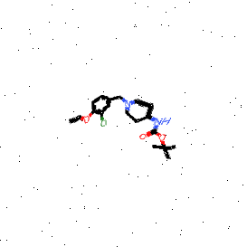 CCOc1ccc(CN2CCC(NC(=O)OC(C)(C)C)CC2)cc1Cl